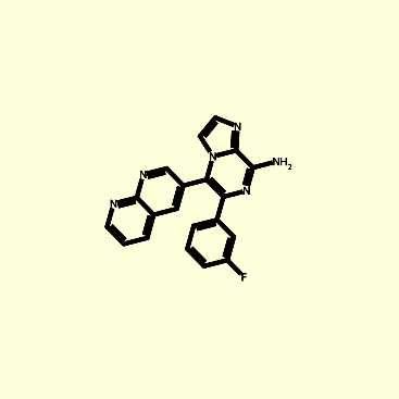 Nc1nc(-c2cccc(F)c2)c(-c2cnc3ncccc3c2)n2ccnc12